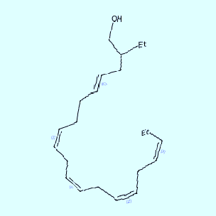 CC/C=C\C/C=C\C/C=C\C/C=C\CC/C=C/CC(CC)CO